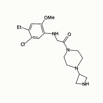 CCc1cc(OC)c(NCC(=O)N2CCN(C3CNC3)CC2)cc1Cl